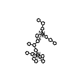 c1ccc(-c2ccc(-c3ccc(-c4nc(-c5ccc(-c6cccc(-c7ccccc7)c6)cc5)nc(-c5cccc6c5sc5ccc(-c7cc(-c8ccccc8)cc(-c8ccc(-c9nc(-c%10c(-c%11cccc(-c%12ccccc%12)c%11)ccc%11ccccc%10%11)nc(-c%10cccc%11c%10sc%10ccccc%10%11)n9)cc8)c7)cc56)n4)cc3)cc2)cc1